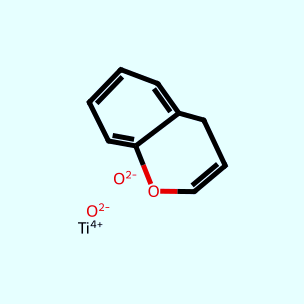 C1=COc2ccccc2C1.[O-2].[O-2].[Ti+4]